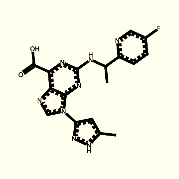 Cc1cc(-n2cnc3c(C(=O)O)nc(NC(C)c4ccc(F)cn4)nc32)n[nH]1